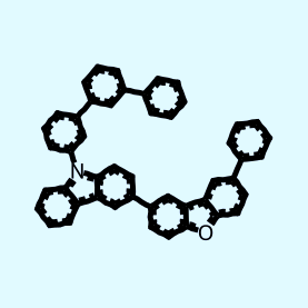 c1ccc(-c2cccc(-c3cccc(-n4c5ccccc5c5cc(-c6ccc7oc8ccc(-c9ccccc9)cc8c7c6)ccc54)c3)c2)cc1